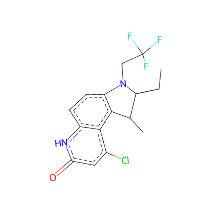 CCC1C(C)c2c(ccc3[nH]c(=O)cc(Cl)c23)N1CC(F)(F)F